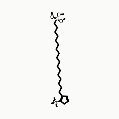 CO[Si](CCCCCCCCCCCCCCCCCC1=[C]([Pt]([CH3])([CH3])[CH3])CC=C1)(OC)OC